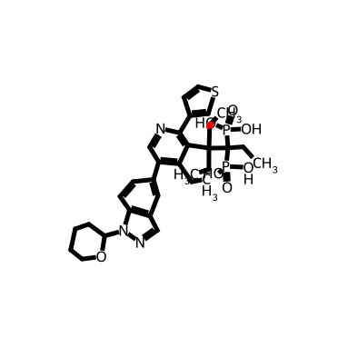 CCc1c(-c2ccc3c(cnn3C3CCCCO3)c2)cnc(-c2ccsc2)c1C(CC)(CC)C(CC)(P(=O)(O)O)P(=O)(O)O